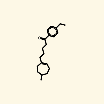 CCc1ccc(C(=O)CCCCC2=CCCC(C)CC2)cc1